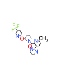 Cc1ccc(-c2ncccn2)c(C(=O)N2CCCC(Oc3ccc(C(F)(F)F)cn3)C2)n1